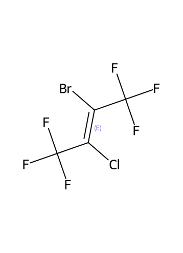 FC(F)(F)/C(Cl)=C(\Br)C(F)(F)F